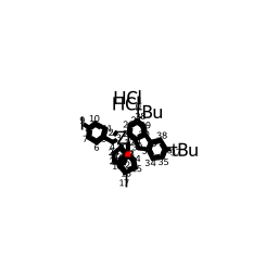 Cl.Cl.[CH2]=[Zr]([CH2]c1ccc(I)cc1)([CH2]c1ccc(I)cc1)([C]1=CC=CC1)[c]1cc(C(C)(C)C)cc2c1Cc1ccc(C(C)(C)C)cc1-2